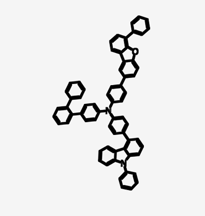 c1ccc(-c2ccccc2-c2ccc(N(c3ccc(-c4ccc5oc6c(-c7ccccc7)cccc6c5c4)cc3)c3ccc(-c4cccc5c4c4ccccc4n5-c4ccccc4)cc3)cc2)cc1